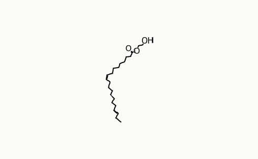 CCC=CCCCCCCC/C=C\CCCCCCCC(=O)OCCO